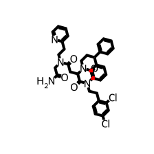 NC(=O)CN(CCc1ccccn1)C(=O)CC1C(=O)N(CCc2ccc(Cl)cc2Cl)CC(=O)N1CCC(c1ccccc1)c1ccccc1